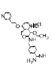 CCOC(C(=O)NCc1ccc(C(=N)N)cc1)c1c(F)ccc(OCCc2cccnc2)c1F.Cl.Cl